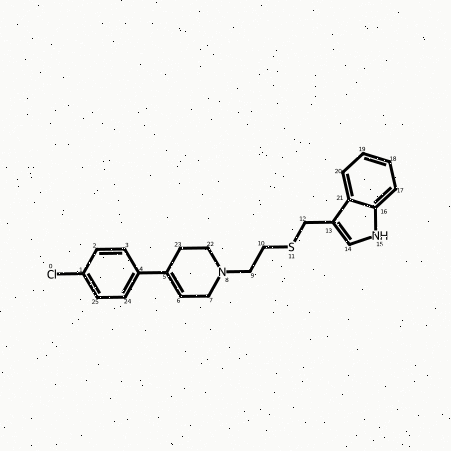 Clc1ccc(C2=CCN(CCSCc3c[nH]c4ccccc34)CC2)cc1